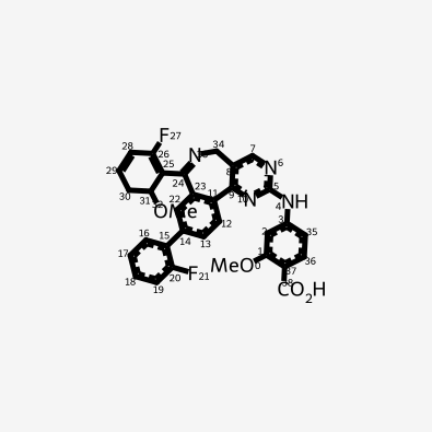 COc1cc(Nc2ncc3c(n2)-c2ccc(-c4ccccc4F)cc2C(C2=C(F)C=CCC2OC)=NC3)ccc1C(=O)O